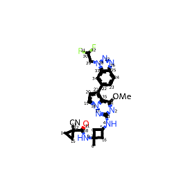 COc1nc(NC2CC(C)(NC(=O)C3(C#N)CC3)C2)nn2ccc(-c3ccc4nnn(CC(F)F)c4c3)c12